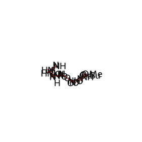 COC(=O)[C@H](CCC(C)(C)C)NC(=O)c1ccc(Oc2cccc(OC3CN(C(=O)NCCCOCCOCc4cn(CC(=O)NCCCn5nccc5C(=O)N[C@H](C(=O)Nc5ccc(-c6c(C)n[nH]c6C)cc5)C(C5CC5)C5CC5)nn4)C3)c2)nc1